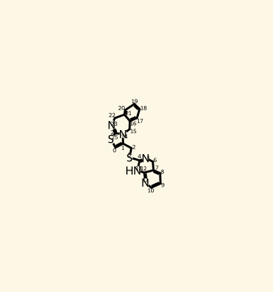 C1=C(CSC2=NCc3cccnc3N2)N2Cc3ccccc3CN=C2S1